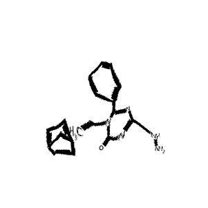 C1=CC2=CC=C1C2.CCn1c(-c2ccccc2)nc(NN)nc1=O